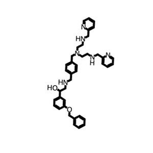 OC(CNCc1ccc(CN(CCNCc2ccccn2)CCNCc2ccccn2)cc1)c1cccc(OCc2ccccc2)c1